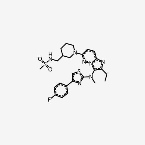 CCc1nc2ccc(N3CCCC(CNS(C)(=O)=O)C3)nn2c1N(C)c1nc(-c2ccc(F)cc2)cs1